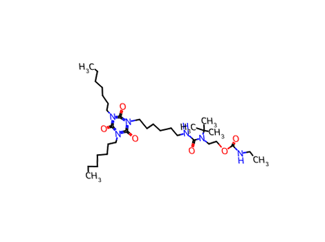 CCCCCCCn1c(=O)n(CCCCCCC)c(=O)n(CCCCCCNC(=O)N(CCOC(=O)NCC)C(C)(C)C)c1=O